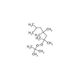 CC(C)CC(C)(C)CC(C)(C)OOC(C)(C)C